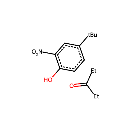 CC(C)(C)c1ccc(O)c([N+](=O)[O-])c1.CCC(=O)CC